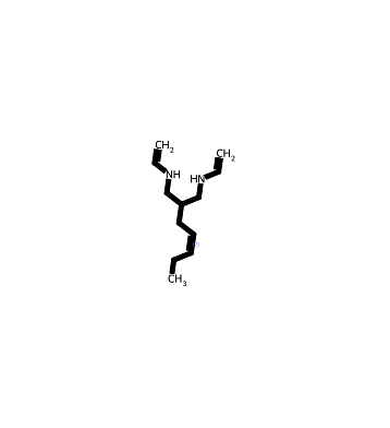 C=CNCC(C/C=C\CC)CNC=C